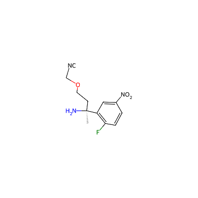 [C-]#[N+]COCC[C@](C)(N)c1cc([N+](=O)[O-])ccc1F